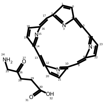 C1=CC2=NC1=CC1=NC(=CC3=NC(=CC4=NC(=C2)C=C4)C=C3)C=C1.NCC(=O)CCC(=O)O